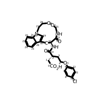 O=C(O)C[C@@H](CCOc1ccc(Cl)cc1)C(=O)N[C@H]1Cc2cn(c3ccccc23)CCOCCNC1=O